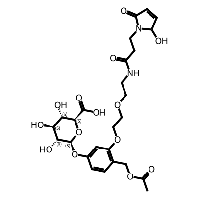 CC(=O)OCc1ccc(O[C@@H]2O[C@H](C(=O)O)[C@@H](O)[C@H](O)[C@H]2O)cc1OCCOCCNC(=O)CCN1C(=O)C=CC1O